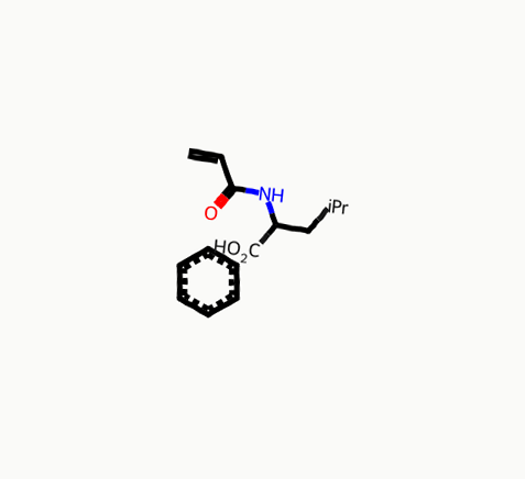 C=CC(=O)NC(CC(C)C)C(=O)O.c1ccccc1